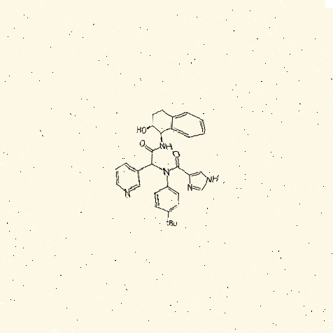 CC(C)(C)c1ccc(N(C(=O)c2c[nH]cn2)C(C(=O)N[C@@H]2c3ccccc3CC[C@@H]2O)c2cccnc2)cc1